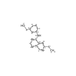 CSc1ncc2ncnc(Nc3cccc(CO)c3)c2n1